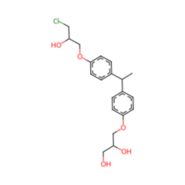 CC(c1ccc(OCC(O)CO)cc1)c1ccc(OCC(O)CCl)cc1